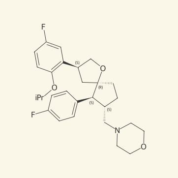 CC(C)Oc1ccc(F)cc1[C@H]1CO[C@]2(CC[C@H](CN3CCOCC3)[C@H]2c2ccc(F)cc2)C1